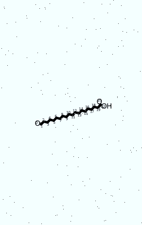 O=CCCCCCCCCCCCCCCCCCCC(=O)O